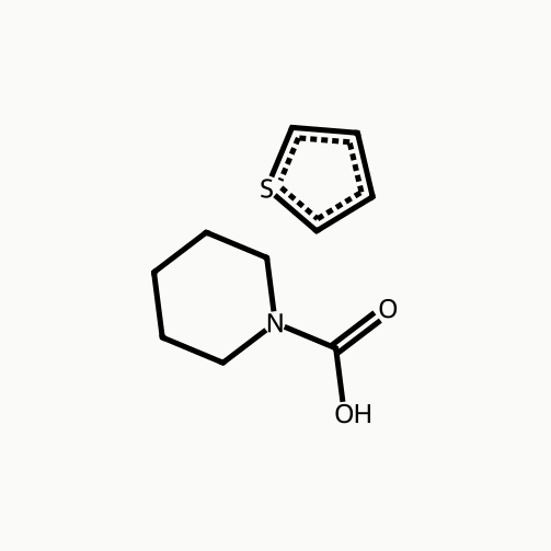 O=C(O)N1CCCCC1.c1ccsc1